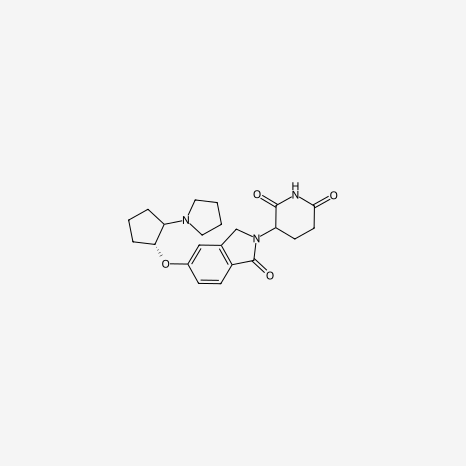 O=C1CCC(N2Cc3cc(O[C@@H]4CCCC4N4CCCC4)ccc3C2=O)C(=O)N1